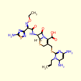 C=CCN1C(SCC2=C(C(=O)O)N3C(=O)C(NC(=O)/C(=N\OCC)c4nsc(N)n4)[C@@H]3SC2)=NC(N)=CC1N